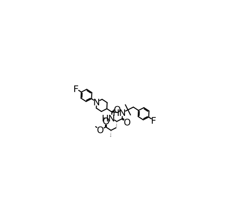 COC(=O)[C@@H](C)C[C@H](NC(=O)C1CCN(c2ccc(F)cc2)CC1)C(=O)NC(C)(C)Cc1ccc(F)cc1